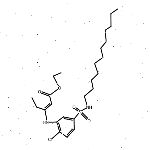 CCCCCCCCCCCCNS(=O)(=O)c1ccc(Cl)c(NC(=CC(=O)OCC)CC)c1